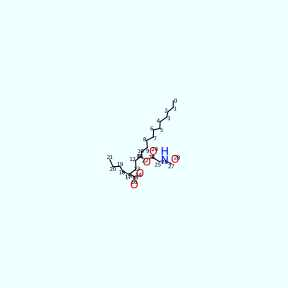 CCCCCCCCCCC[C@H](CC1OC(=O)[C@H]1CCCC)OC(=O)CNC=O